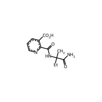 CCC(C)(NC(=O)c1ncccc1C(=O)O)C(N)=O